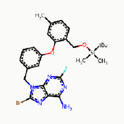 Cc1ccc(CO[Si](C)(C)C(C)(C)C)c(Oc2cccc(Cn3c(Br)nc4c(N)nc(F)nc43)c2)c1